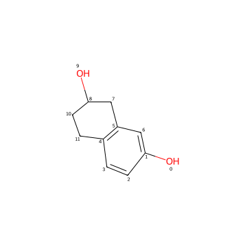 Oc1ccc2c(c1)CC(O)CC2